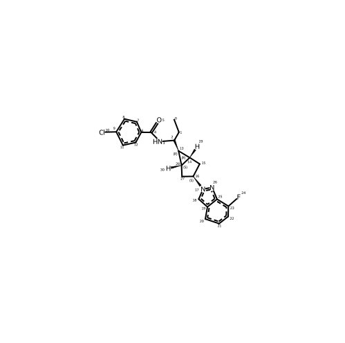 CCC(NC(=O)c1ccc(Cl)cc1)[C@H]1[C@@H]2C[C@@H](n3cc4cccc(F)c4n3)C[C@@H]21